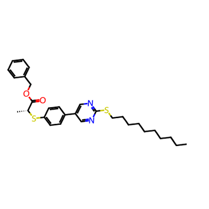 CCCCCCCCCCSc1ncc(-c2ccc(S[C@H](C)C(=O)OCc3ccccc3)cc2)cn1